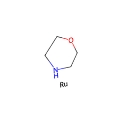 C1COCCN1.[Ru]